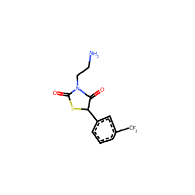 NCCN1C(=O)SC(c2cccc(C(F)(F)F)c2)C1=O